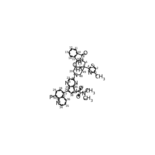 Cc1csc([C@@]2(CN3C(=O)c4ccccc4C3=O)[C@@H]3CCN(c4cnc5c(-c6ccc(F)c7ncccc67)cn(S(=O)(=O)N(C)C)c5n4)C[C@@H]32)n1